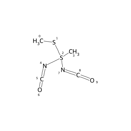 CSS(C)(N=C=O)N=C=O